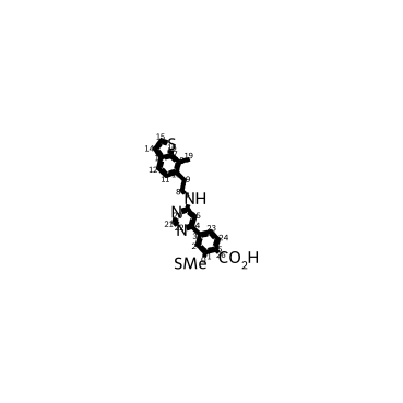 CSc1cc(-c2cc(NCCc3ccc4ccsc4c3C)ncn2)ccc1C(=O)O